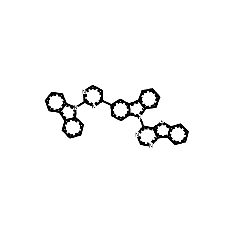 c1ccc2c(c1)sc1c(-n3c4ccccc4c4cc(-c5ccnc(-n6c7ccccc7c7ccccc76)n5)ccc43)ncnc12